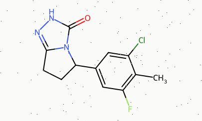 Cc1c(F)cc(C2CCc3n[nH]c(=O)n32)cc1Cl